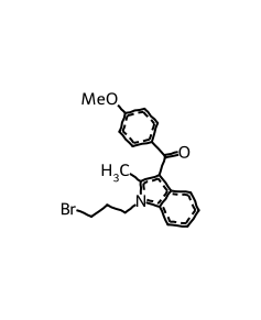 COc1ccc(C(=O)c2c(C)n(CCCBr)c3ccccc23)cc1